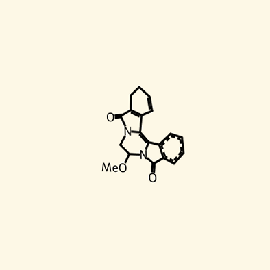 COC1CN2C(=O)C3=C(C=CCC3)C2=C2c3ccccc3C(=O)N21